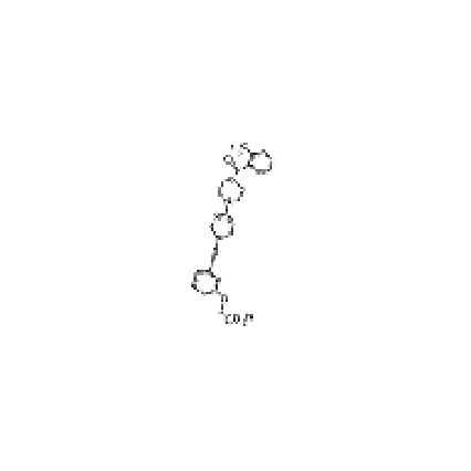 O=C(O)COc1cccc(C#Cc2ccc(N3CCN(C(=O)c4ccccc4C(F)(F)F)CC3)nc2)c1